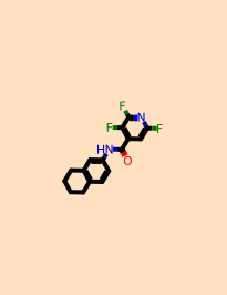 O=C(Nc1ccc2c(c1)CCCC2)c1cc(F)nc(F)c1F